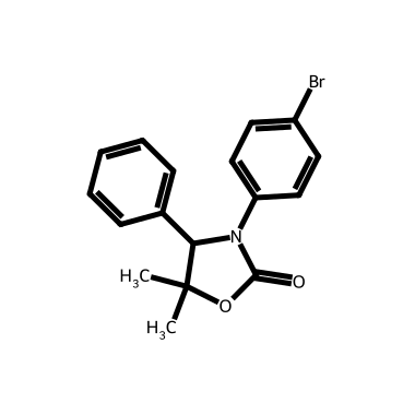 CC1(C)OC(=O)N(c2ccc(Br)cc2)C1c1ccccc1